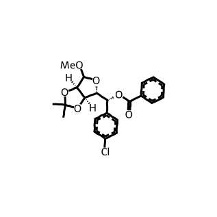 COC1O[C@H]([C@H](OC(=O)c2ccccc2)c2ccc(Cl)cc2)[C@H]2OC(C)(C)O[C@@H]12